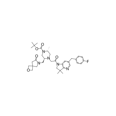 C[C@@H]1CN(CC(=O)N2CC(C)(C)c3ncc(Cc4ccc(F)cc4)cc32)[C@@H](CN2CC3(COC3)CC2=O)CN1C(=O)OC(C)(C)C